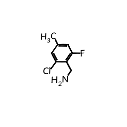 Cc1cc(F)c(CN)c(Cl)c1